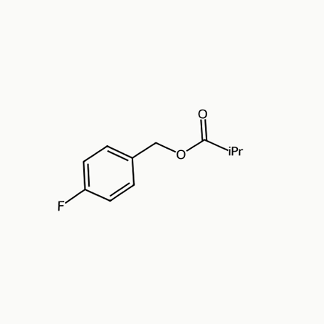 CC(C)C(=O)OCc1ccc(F)cc1